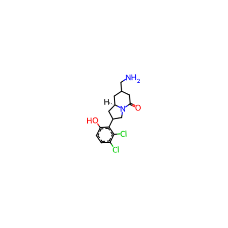 NCC1CC(=O)N2CC(c3c(O)ccc(Cl)c3Cl)C[C@H]2C1